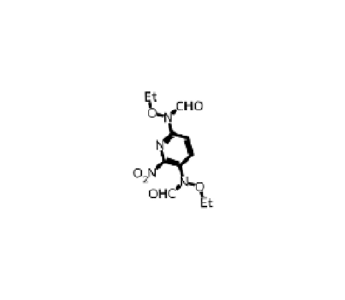 CCON(C=O)c1ccc(N(C=O)OCC)c([N+](=O)[O-])n1